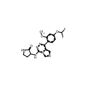 O=C1NCCC1Nc1nnc(-c2ccc(OC(F)F)cc2OC(F)(F)F)c2cncn12